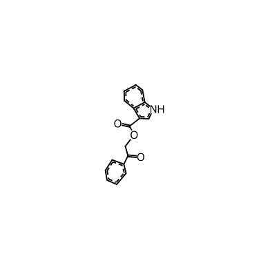 O=C(COC(=O)c1c[nH]c2ccccc12)c1ccccc1